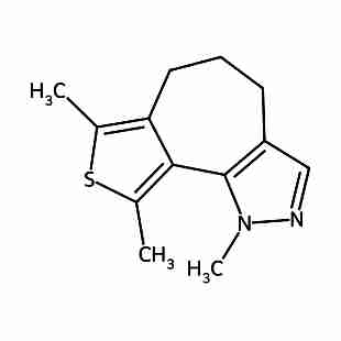 Cc1sc(C)c2c1CCCc1cnn(C)c1-2